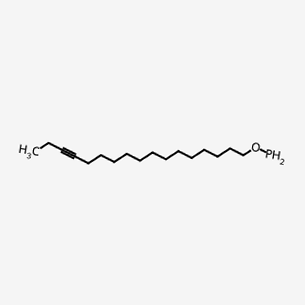 CCC#CCCCCCCCCCCCCCOP